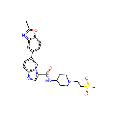 Cc1nc2cc(-c3ccc4ncc(C(=O)NC5CCN(CCS(C)(=O)=O)CC5)n4c3)ccc2o1